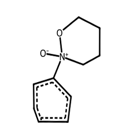 [O-][N+]1(c2ccccc2)CCCCO1